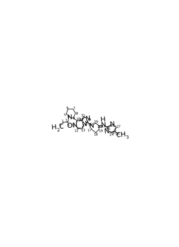 C=CC(=O)N1CCCCC1c1nccn2c(N3CCC[C@@H](Nc4ncc(C)cn4)C3)ncc12